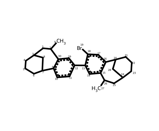 CC1CC2CCCC(C2)c2ccc(-c3cc4c(cc3Br)C3CCCC(CC4C)C3)cc21